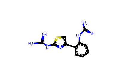 N=C(N)Nc1nc(-c2ccccc2NC(=N)N)cs1